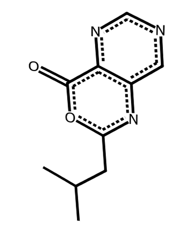 CC(C)Cc1nc2cncnc2c(=O)o1